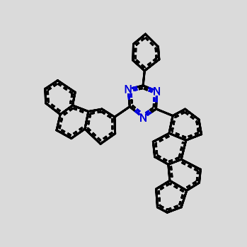 c1ccc(-c2nc(-c3ccc4ccc5ccccc5c4c3)nc(-c3cccc4c3ccc3c5ccccc5ccc43)n2)cc1